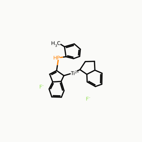 Cc1ccccc1PC1=Cc2ccccc2[CH]1[Ti+2][CH]1CCC2C=CC=CC21.[F-].[F-]